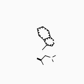 O=C(O)[C@H](Cc1c[nH]c2ccccc12)N(Cl)Cl